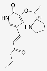 CCCC(=O)C=Cc1c[nH]c(=O)c(OC(C)[C@@H]2CCCN2)c1